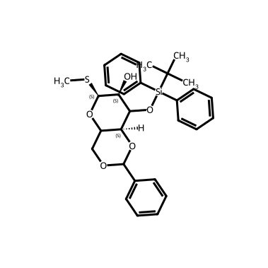 CS[C@@H]1OC2COC(c3ccccc3)O[C@@H]2C(O[Si](c2ccccc2)(c2ccccc2)C(C)(C)C)[C@@H]1O